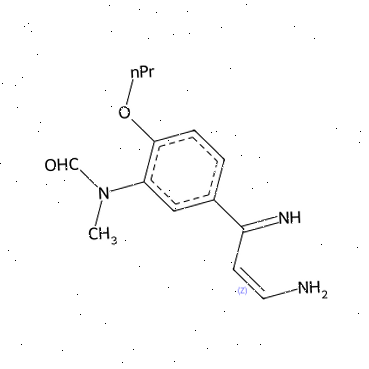 CCCOc1ccc(C(=N)/C=C\N)cc1N(C)C=O